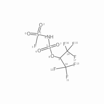 O=S(=O)(F)NS(=O)(=O)OC(C(F)(F)F)C(F)(F)F